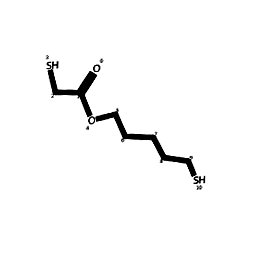 O=C(CS)OCCCCCS